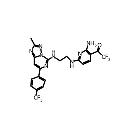 Cc1nc2cc(-c3ccc(C(F)(F)F)cc3)nc(NCCNc3ccc(C(=O)C(F)(F)F)c(N)n3)n2n1